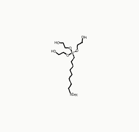 CCCCCCCCCCCCCCCCCC[N+](OCCO)(OCCO)OCCO